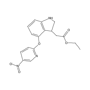 CCOC(=O)CC1CNc2cccc(Oc3ccc([N+](=O)[O-])cn3)c21